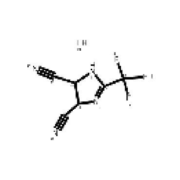 N#CC1N=C(C(F)(F)F)NC1C#N.[LiH]